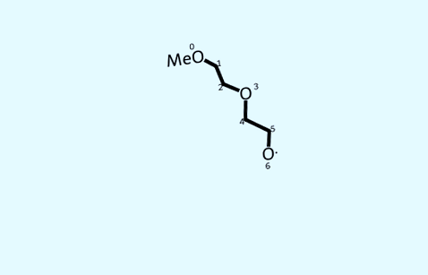 COCCOCC[O]